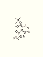 CC(C)(C)OC(=O)C1CCCN2CC(CBr)C(=O)N12